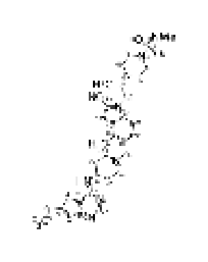 CNS(=O)(=O)N1CCN(C(C)Cn2c(C#N)cc3c(C)c(CN4CCC(Nc5ncnc6sc(CC(F)(F)F)cc56)CC4)ccc32)CC1